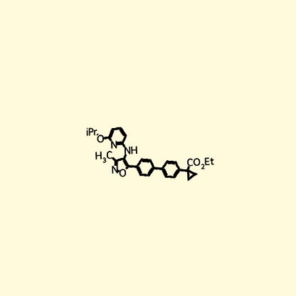 CCOC(=O)C1(c2ccc(-c3ccc(-c4onc(C)c4Nc4cccc(OC(C)C)n4)cc3)cc2)CC1